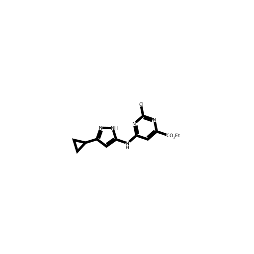 CCOC(=O)c1cc(Nc2cc(C3CC3)n[nH]2)nc(Cl)n1